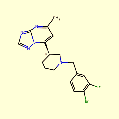 Cc1cc([C@@H]2CCCN(Cc3ccc(Br)c(F)c3)C2)n2ncnc2n1